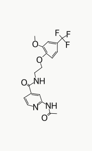 COc1cc(C(F)(F)F)ccc1OCCNC(=O)c1ccnc(NC(C)=O)c1